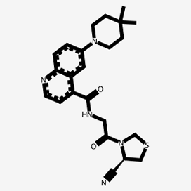 CC1(C)CCN(c2ccc3nccc(C(=O)NCC(=O)N4CSC[C@H]4C#N)c3c2)CC1